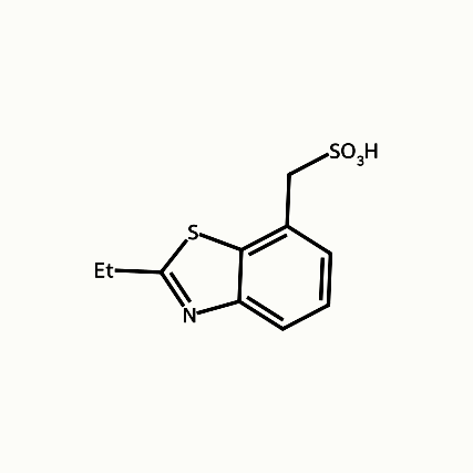 [CH2]Cc1nc2cccc(CS(=O)(=O)O)c2s1